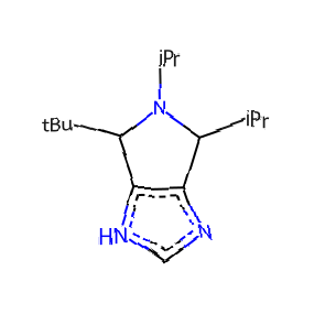 CC(C)C1c2nc[nH]c2C(C(C)(C)C)N1C(C)C